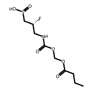 CCCC(=O)OCOC(=O)NC[C@@H](F)CS(=O)O